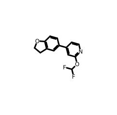 FC(F)Oc1cc(-c2ccc3c(c2)CCO3)ccn1